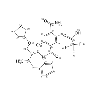 CN1Cc2ccccc2N(C(=O)c2ccc(C(N)=O)cc2Cl)CC1COC1CCCC1.O=C(O)C(F)(F)F